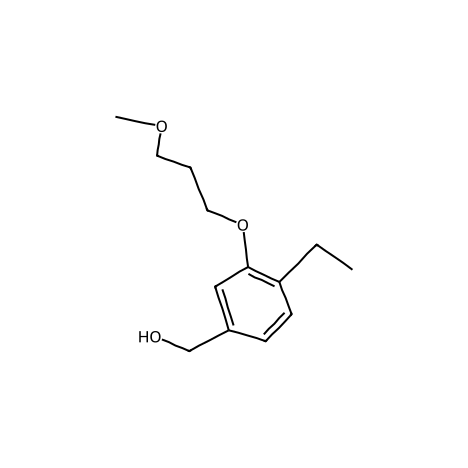 CCc1ccc(CO)cc1OCCCOC